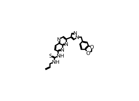 C=CCNC(=S)Nc1ccc2ncc(-c3cnn(Cc4ccc5c(c4)OCO5)c3)nc2n1